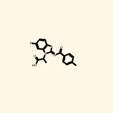 Cc1ccc(C(=O)N=c2sc3ccc(F)cc3n2C(C)C(=O)O)cc1